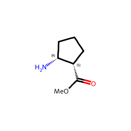 COC(=O)[C@H]1CCC[C@H]1N